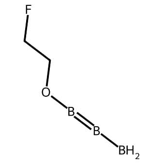 BB=BOCCF